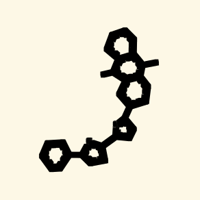 Cc1c2ccccc2c(C)c2cc(-c3ccc(-c4ccc(-c5ccccc5)s4)s3)ccc12